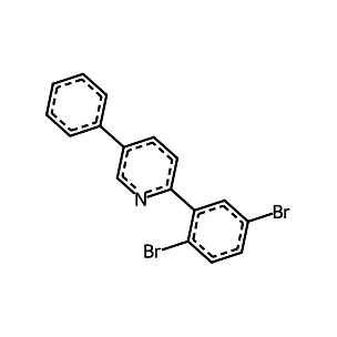 Brc1ccc(Br)c(-c2ccc(-c3ccccc3)cn2)c1